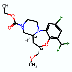 CCOC(=O)N1CCN2c3cc(F)cc(C(F)F)c3O[C@H](COC)C[C@H]2C1